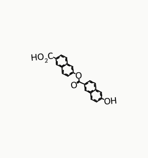 O=C(O)c1ccc2cc(OC(=O)c3ccc4cc(O)ccc4c3)ccc2c1